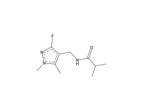 Cc1c(CNC(=O)C(C)C)c(F)nn1C